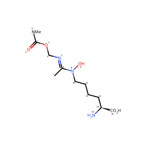 CNC(=O)OC/N=C(\C)N(O)CCCC[C@H](N)C(=O)O